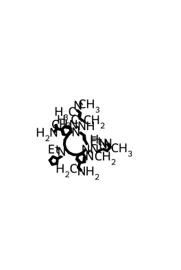 C=C(Nc1nc2cc(C(=C)N)cc3c2n1C/C=C/Cn1c(NC(=C)C2CC(C)=NN2CC)nc2cc(C(=C)N)cc(c21)CCC(N(CC)CC1CCCC1)CC3)/C(C)=C/C(C)=N\C